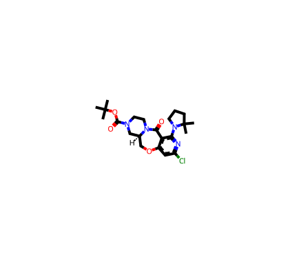 CC(C)(C)OC(=O)N1CCN2C(=O)c3c(cc(Cl)nc3N3CCCC3(C)C)OC[C@H]2C1